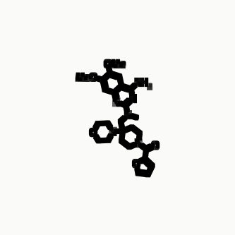 COc1cc2nc(N(C)CC3(N4CCOCC4)CCN(C(=O)c4ccco4)CC3)nc(N)c2cc1OC